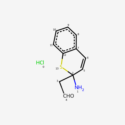 Cl.NC1(CC=O)C=Cc2ccccc2S1